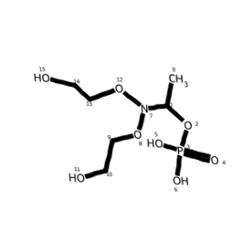 CC(OP(=O)(O)O)N(OCCO)OCCO